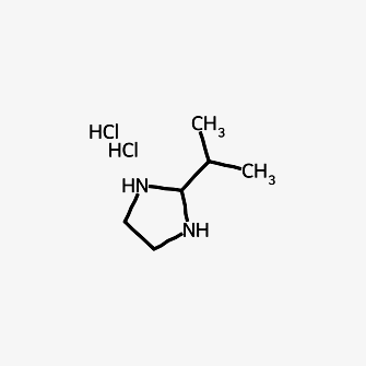 CC(C)C1NCCN1.Cl.Cl